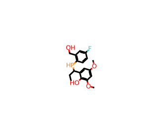 CCC(Pc1ccc(F)cc1CO)c1cc(OC)cc(OC)c1O